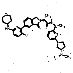 C[C@H](C(=O)N[C@H](C)c1cccc(N2CC[C@H](N(C)C)C2)n1)N1Cc2ccc(-c3nc(NC4CCOCC4)ncc3Cl)cc2C1=O